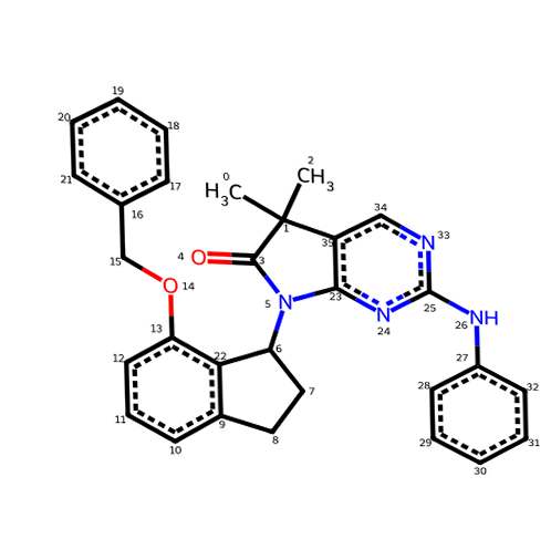 CC1(C)C(=O)N(C2CCc3cccc(OCc4ccccc4)c32)c2nc(Nc3ccccc3)ncc21